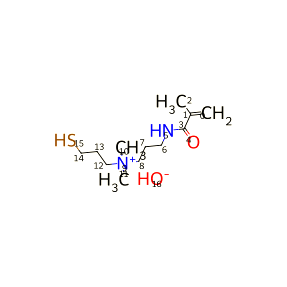 C=C(C)C(=O)NCCC[N+](C)(C)CCCS.[OH-]